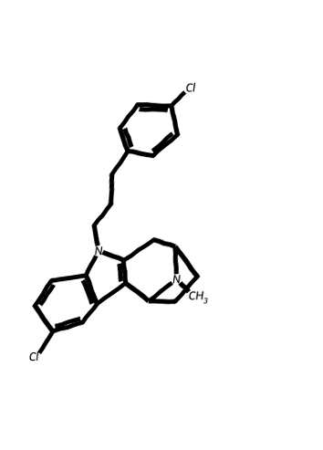 CN1C2CCC1c1c(n(CCCc3ccc(Cl)cc3)c3ccc(Cl)cc13)C2